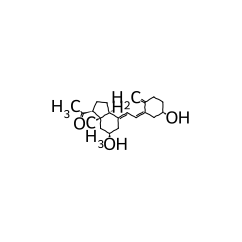 C=C1CC[C@@H](O)C/C1=C/C=C1\C[C@@H](O)C[C@]2(C)[C@@H](C(C)=O)CC[C@@H]12